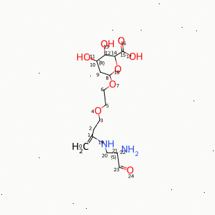 C=C(CCOCCOC1C[C@@H](O)C(O)C(C(=O)O)O1)NC[C@H](N)C=O